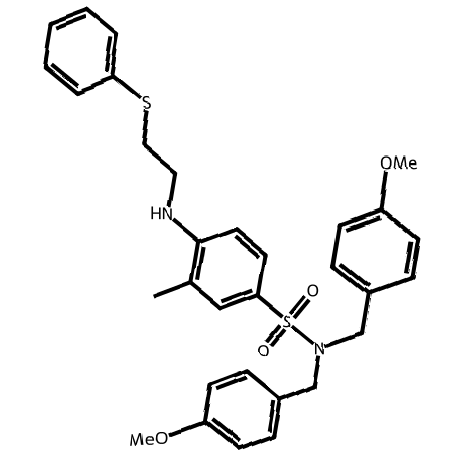 COc1ccc(CN(Cc2ccc(OC)cc2)S(=O)(=O)c2ccc(NCCSc3ccccc3)c(C)c2)cc1